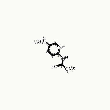 COC(=O)Nc1ccc(C(=O)O)cn1